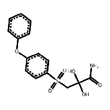 NC(=O)C(O)(O)CS(=O)(=O)c1ccc(Oc2ccccc2)cc1